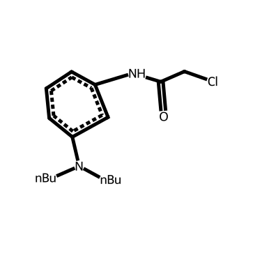 CCCCN(CCCC)c1cccc(NC(=O)CCl)c1